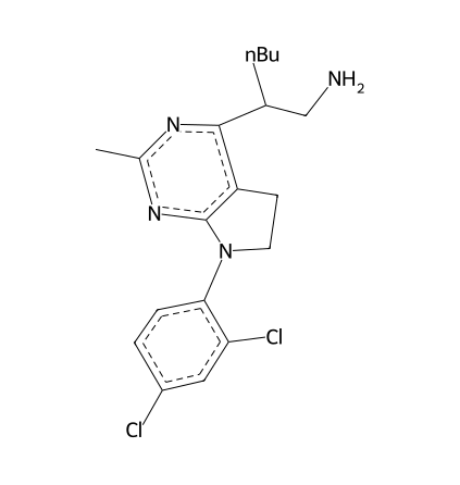 CCCCC(CN)c1nc(C)nc2c1CCN2c1ccc(Cl)cc1Cl